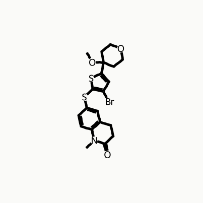 COC1(c2cc(Br)c(Sc3ccc4c(c3)CCC(=O)N4C)s2)CCOCC1